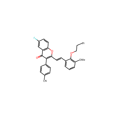 COc1cccc(/C=C/c2oc3ccc(F)cc3c(=O)c2-c2ccc(C#N)cc2)c1OCCC(C)C